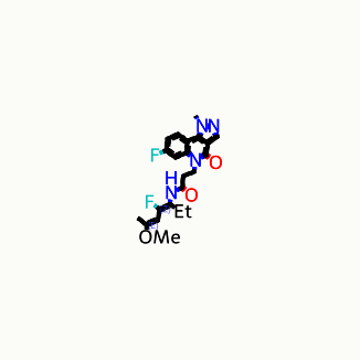 CC/C(NC(=O)CCn1c(=O)c2cnn(C)c2c2ccc(F)cc21)=C(F)\C=C(/C)OC